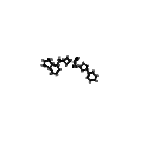 O=C(NC1CCN(c2ccccn2)C1)[C@H]1C[C@H](Oc2cccc3scnc23)C1